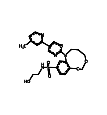 Cc1ccnc(-c2cnc(N3CCCOCCc4ccc(S(=O)(=O)NCCO)cc43)nc2)c1